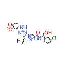 Cc1cnc(Nc2ccc3c(c2)OCO3)nc1-n1cc(C(=O)NC(CO)c2cccc(Cl)c2)cn1